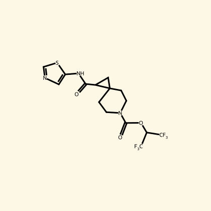 O=C(Nc1cncs1)C1CC12CCN(C(=O)OC(C(F)(F)F)C(F)(F)F)CC2